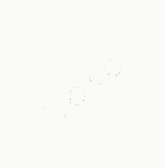 COC(=O)c1ccc(C(=O)Nc2cccc(C(=O)O)c2)cc1